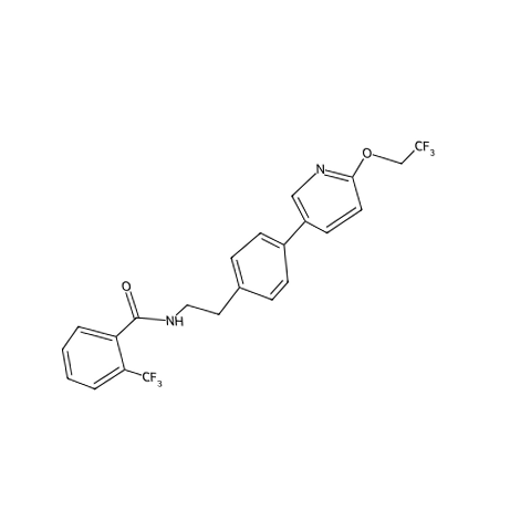 O=C(NCCc1ccc(-c2ccc(OCC(F)(F)F)nc2)cc1)c1ccccc1C(F)(F)F